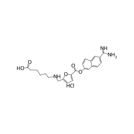 Cl.N=C(N)c1ccc2cc(OC(=O)c3ccc(CNCCCCCC(=O)O)o3)ccc2c1